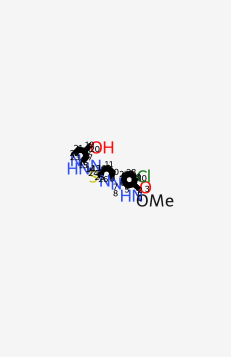 CONC(=O)c1cc(N(C)c2ccc3nc(Nc4cc(CO)ccn4)sc3n2)ccc1Cl